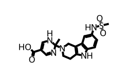 CC1(N2CCc3[nH]c4ccc(NS(C)(=O)=O)cc4c3C2)N=CC(C(=O)O)=CN1